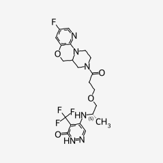 C[C@@H](COCCC(=O)N1CCN2c3ncc(F)cc3OCC2C1)Nc1cn[nH]c(=O)c1C(F)(F)F